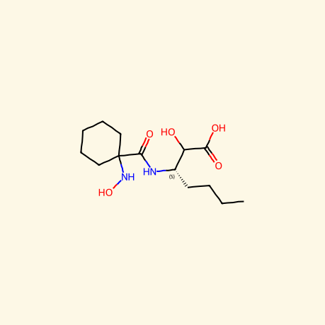 CCCC[C@H](NC(=O)C1(NO)CCCCC1)C(O)C(=O)O